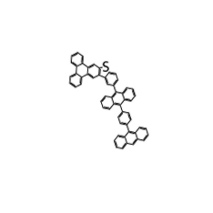 c1ccc2c(-c3ccc(-c4c5ccccc5c(-c5ccc6sc7cc8c9ccccc9c9ccccc9c8cc7c6c5)c5ccccc45)cc3)c3ccccc3cc2c1